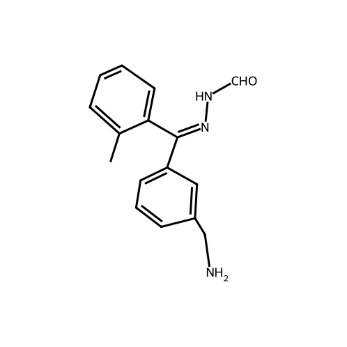 Cc1ccccc1/C(=N\NC=O)c1cccc(CN)c1